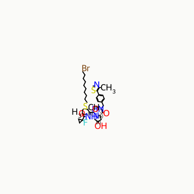 Cc1ncsc1-c1ccc(CNC(=O)[C@@H]2C[C@@H](O)CN2C(=O)[C@@H](NC(=O)C2(F)CC2)C(C)(C)SCCCCCCCCCCBr)cc1